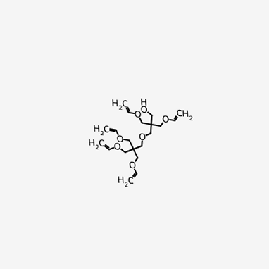 C=COCC(CO)(COC=C)COCC(COC=C)(COC=C)COC=C